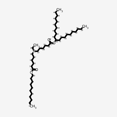 CCCCCCCCCCCOC(=O)CCCCCN(CC)CCCCCC(=O)OC(CCCCCCCCCC)CCCCCCCCCC